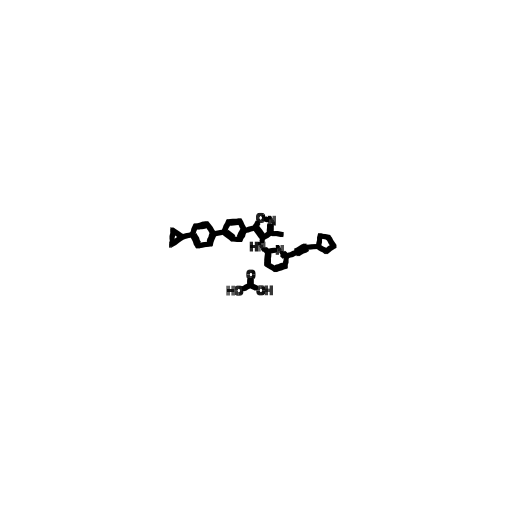 Cc1noc(-c2ccc(-c3ccc(C4CC4)cc3)cc2)c1Nc1cccc(C#CC2CCCC2)n1.O=C(O)O